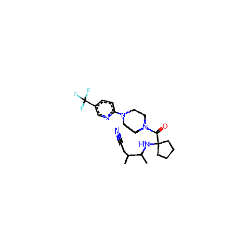 CC(C#N)C(C)NC1(C(=O)N2CCN(c3ccc(C(F)(F)F)cn3)CC2)CCCC1